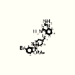 COc1ccc(Br)cc1S(=O)(=O)N1CCC(COc2cccc3nc(N)nc(N)c23)CC1